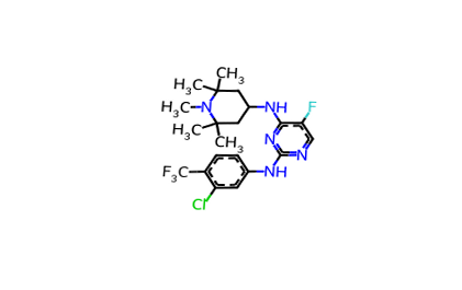 CN1C(C)(C)CC(Nc2nc(Nc3ccc(C(F)(F)F)c(Cl)c3)ncc2F)CC1(C)C